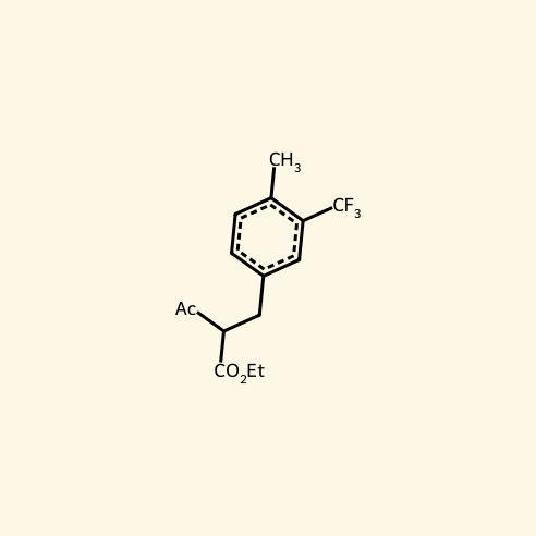 CCOC(=O)C(Cc1ccc(C)c(C(F)(F)F)c1)C(C)=O